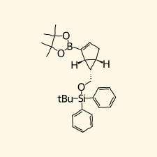 CC1(C)OB(C2=CC[C@@H]3[C@H](CO[Si](c4ccccc4)(c4ccccc4)C(C)(C)C)[C@H]23)OC1(C)C